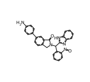 Nc1ccc(-c2ccc3c(c2)C(=O)N(C(c2nc4ccccc4[nH]2)c2ccccc2N=O)C3)cc1